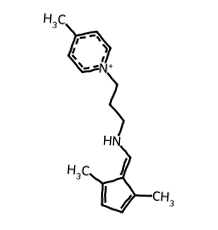 CC1=CC=C(C)C1=CNCCC[n+]1ccc(C)cc1